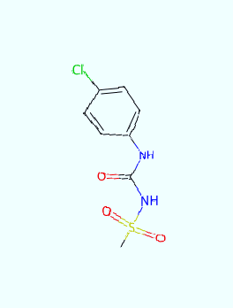 CS(=O)(=O)NC(=O)Nc1ccc(Cl)cc1